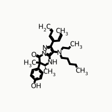 C=C/C=C(\C=C/C)c1nn2c(c1N(CCC)CCCCC)N[C@H](C)C(C)(c1ccc(O)cc1)C2=O